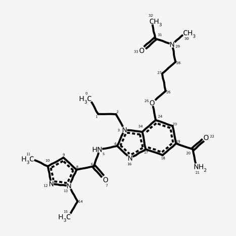 CCCn1c(NC(=O)c2cc(C)nn2CC)nc2cc(C(N)=O)cc(OCCCN(C)C(C)=O)c21